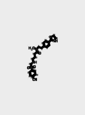 CN(CCc1ccc(C2=NCCN2)cc1)C(=O)CCCNCS(=O)(=O)c1ccc(C#N)cc1